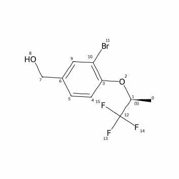 C[C@H](Oc1ccc(CO)cc1Br)C(F)(F)F